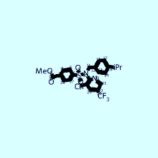 COC(=O)c1ccc(S(=O)(=O)N(Cc2ccc(C(C)C)cc2)c2ncc(C(F)(F)F)cc2Cl)cc1